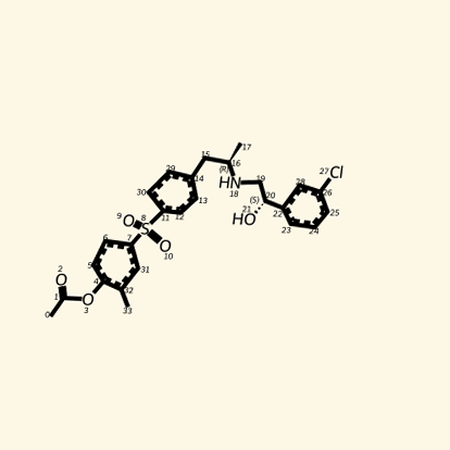 CC(=O)Oc1ccc(S(=O)(=O)c2ccc(C[C@@H](C)NC[C@@H](O)c3cccc(Cl)c3)cc2)cc1C